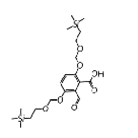 C[Si](C)(C)CCOCOc1ccc(OCOCC[Si](C)(C)C)c(C(=O)O)c1C=O